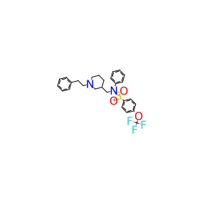 O=S(=O)(c1ccc(OC(F)(F)F)cc1)N(CC1CCCN(CCc2ccccc2)C1)c1ccccc1